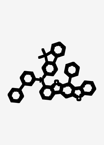 CC1(C)c2ccccc2-c2ccc(N(c3cccc(-c4ccccc4)c3)c3cccc4c3oc3c(-c5ccccc5)c5c(cc34)oc3ccccc35)cc21